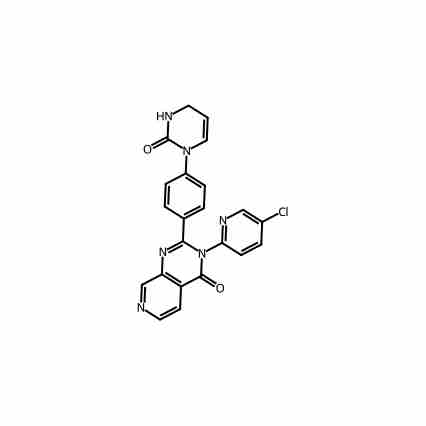 O=C1NCC=CN1c1ccc(-c2nc3cnccc3c(=O)n2-c2ccc(Cl)cn2)cc1